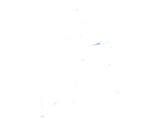 COC(=O)[C@@H](N)Cc1ccccc1OCC1CC1